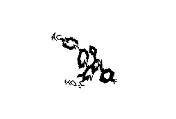 CC(=O)N1CCN(C2CCN(c3c(C)c(C(=O)O)nc4c3c(C3CCC3)nn4-c3ccc(F)cc3)CC2)CC1